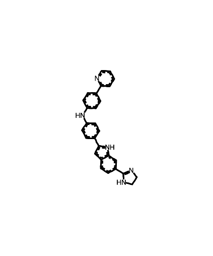 c1ccc(-c2ccc(Nc3ccc(-c4cc5ccc(C6=NCCN6)cc5[nH]4)cc3)cc2)nc1